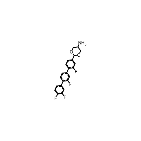 NC1COC(c2ccc(-c3ccc(-c4ccc(F)c(F)c4)c(F)c3)c(F)c2)OC1